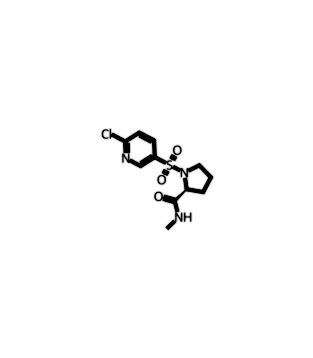 CNC(=O)[C@@H]1CCCN1S(=O)(=O)c1ccc(Cl)nc1